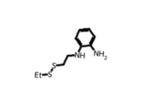 CCSSCCNc1ccccc1N